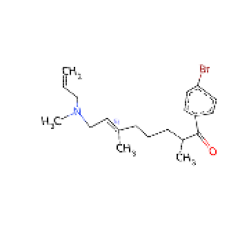 C=CCN(C)C/C=C(\C)CCCC(C)C(=O)c1ccc(Br)cc1